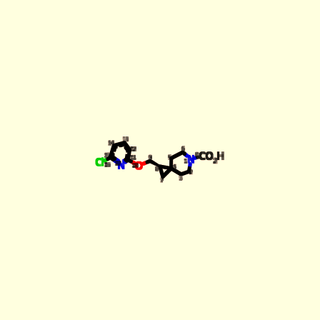 O=C(O)N1CCC2(CC1)C[C@H]2COc1cccc(Cl)n1